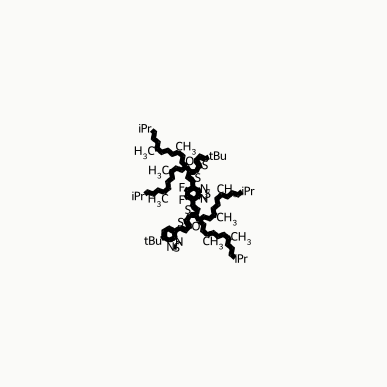 CC(C)CCCC(C)CCCC(C)CCC1(CCC(C)CCCC(C)CCCC(C)C)Oc2cc(-c3ccc(C(C)(C)C)c4nsnc34)sc2-c2sc(-c3c(F)c(F)c(-c4cc5c(s4)-c4sc(C(C)(C)C)cc4OC5(CCC(C)CCCC(C)CCCC(C)C)CCC(C)CCCC(C)CCCC(C)C)c4nsnc34)cc21